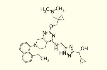 CCc1cccc2cccc(N3CCc4c(nc(OCC5(CN(C)C)CC5)nc4NCc4nc(C(O)C5CC5)n[nH]4)C3)c12